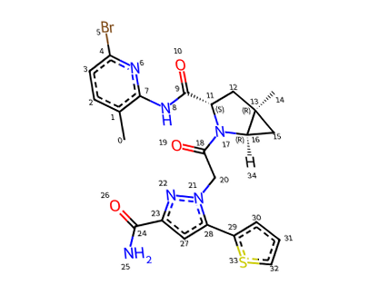 Cc1ccc(Br)nc1NC(=O)[C@@H]1C[C@@]2(C)C[C@H]2N1C(=O)Cn1nc(C(N)=O)cc1-c1cccs1